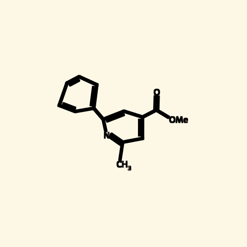 COC(=O)c1cc(C)nc(-c2ccccc2)c1